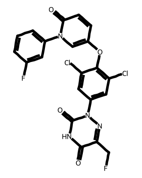 O=c1[nH]c(=O)n(-c2cc(Cl)c(Oc3ccc(=O)n(-c4cccc(F)c4)c3)c(Cl)c2)nc1CF